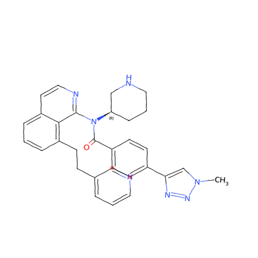 Cn1cc(-c2ccc(C(=O)N(c3nccc4cccc(CCc5cccnc5)c34)[C@@H]3CCCNC3)cc2)nn1